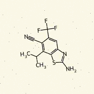 CC(C)c1c(C#N)c(C(F)(F)F)cc2nc(N)sc12